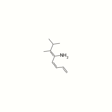 C=C/C=C\C(N)=C(/C)C(C)C